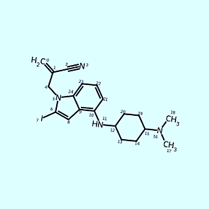 C=C(C#N)Cn1c(I)cc2c(NC3CCC(N(C)C)CC3)cccc21